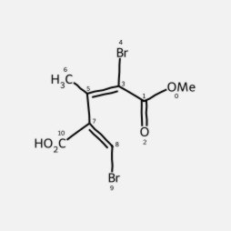 COC(=O)C(Br)=C(C)C(=CBr)C(=O)O